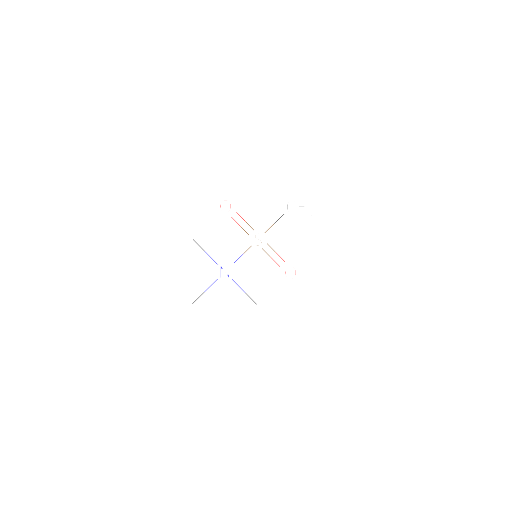 C[N+](C)(C)S(=O)(=O)C(F)(F)F